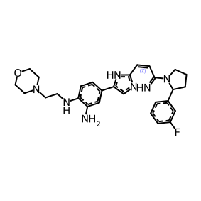 N=C(/C=C\c1ncc(-c2ccc(NCCN3CCOCC3)c(N)c2)[nH]1)N1CCCC1c1cccc(F)c1